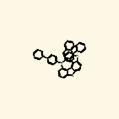 c1ccc(-c2ccc(N(c3ccc(-c4ccccc4)cc3)c3cccc4sc5ccc6oc7c8ccccc8ccc7c6c5c34)cc2)cc1